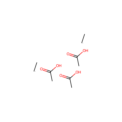 CC(=O)O.CC(=O)O.CC(=O)O.[CH2]C.[CH2]C